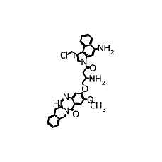 COc1cc2c(cc1OCC(N)CC(=O)N1C[C@@H](CCl)c3c1cc(N)c1ccccc31)N=C[C@@H]1Cc3ccccc3CN1C2=O